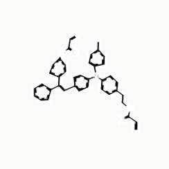 C=CC(=O)OCCc1ccc(N(c2ccc(C)cc2)c2ccc(C=C(c3ccccc3)c3ccc(OC(=O)C=C)cc3)cc2)cc1